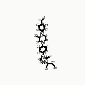 C=C1N(c2ccc(N3CCN(c4ccc(CC)cc4)C(C)C3)cc2)C=NN1C(C)CC